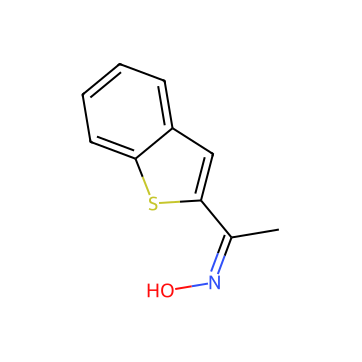 C/C(=N/O)c1cc2ccccc2s1